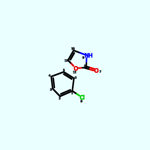 Clc1ccccc1.O=c1[nH]cco1